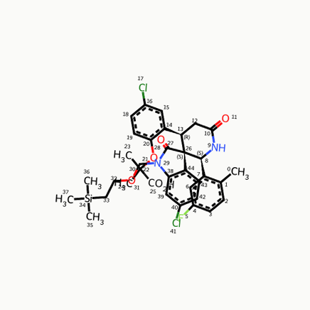 Cc1ccc(F)cc1[C@@H]1NC(=O)C[C@H](c2cc(Cl)ccc2OC(C)(C)C(=O)O)[C@@]12C(=O)N(COCC[Si](C)(C)C)c1cc(Cl)ccc12